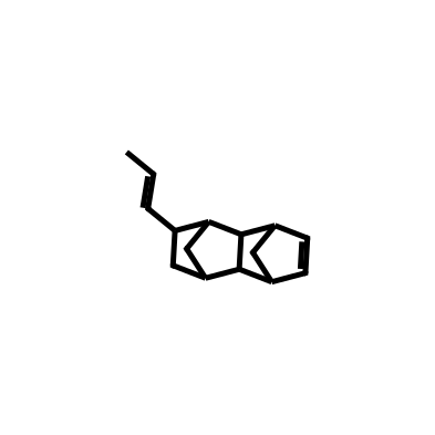 CC=CC1CC2CC1C1C3C=CC(C3)C21